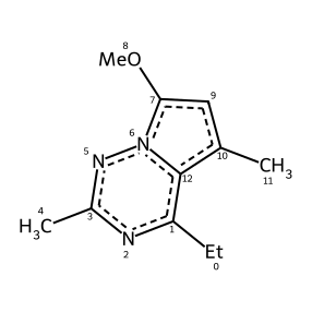 CCc1nc(C)nn2c(OC)cc(C)c12